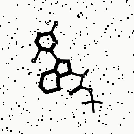 CN(C(=O)OC(C)(C)C)c1cn(-c2nc(Cl)ncc2Cl)c2ccccc12